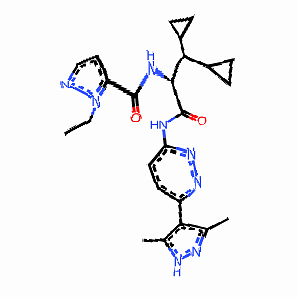 CCn1nccc1C(=O)N[C@H](C(=O)Nc1ccc(-c2c(C)n[nH]c2C)nn1)C(C1CC1)C1CC1